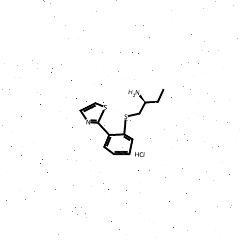 CC[C@H](N)CSc1ccccc1-c1nccs1.Cl